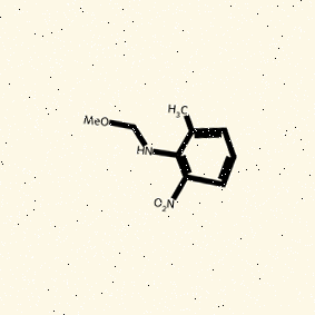 COCNc1c(C)cccc1[N+](=O)[O-]